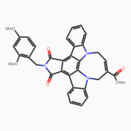 COC(=O)/C1=C/Cn2c3ccccc3c3c4c(c5c6ccccc6n(c5c32)C1)C(=O)N(Cc1ccc(OC)cc1OC)C4=O